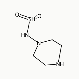 O=[SH](=O)NN1CCNCC1